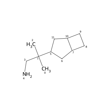 CC(C)(CN)C1CC2CCC2C1